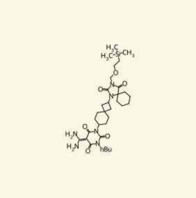 CCCCN1C(=O)C(=C(N)N)C(=O)N(C2CCC3(CC2)CC(N2C(=O)N(COCC[Si](C)(C)C)C(=O)C24CCCCC4)C3)C1=O